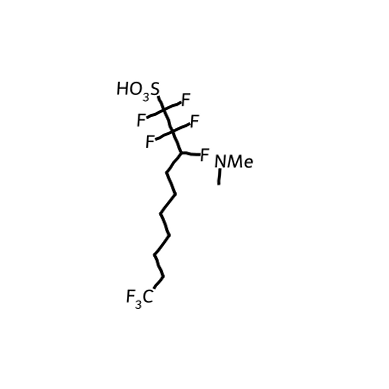 CNC.O=S(=O)(O)C(F)(F)C(F)(F)C(F)CCCCCCC(F)(F)F